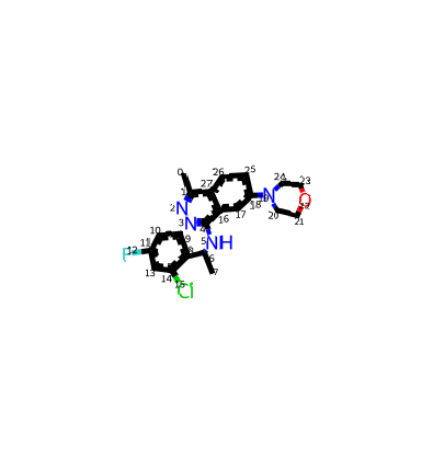 Cc1nnc(NC(C)c2ccc(F)cc2Cl)c2cc(N3CCOCC3)ccc12